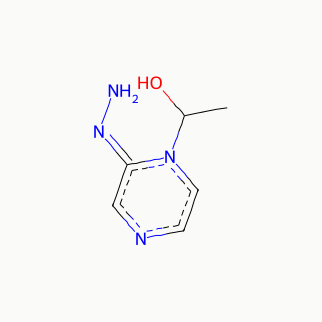 CC(O)n1ccnc/c1=N/N